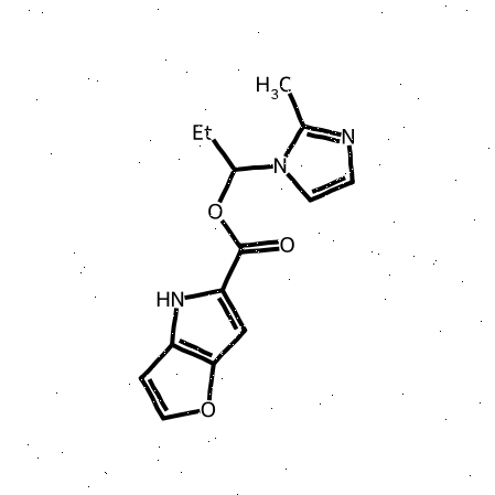 CCC(OC(=O)c1cc2occc2[nH]1)n1ccnc1C